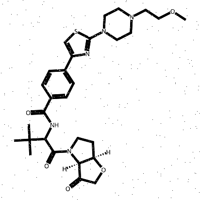 COCCN1CCN(c2nc(-c3ccc(C(=O)NC(C(=O)N4CC[C@H]5OCC(=O)[C@H]54)C(C)(C)C)cc3)cs2)CC1